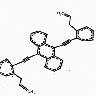 C=CCc1ccccc1C#Cc1c2ccccc2c(C#Cc2ccccc2CC=C)c2ccccc12